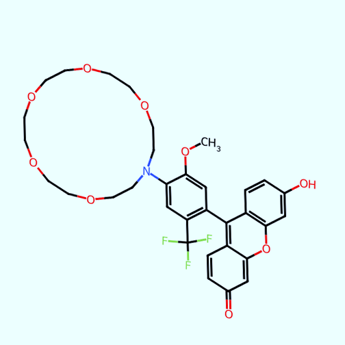 COc1cc(-c2c3ccc(=O)cc-3oc3cc(O)ccc23)c(C(F)(F)F)cc1N1CCOCCOCCOCCOCCOCC1